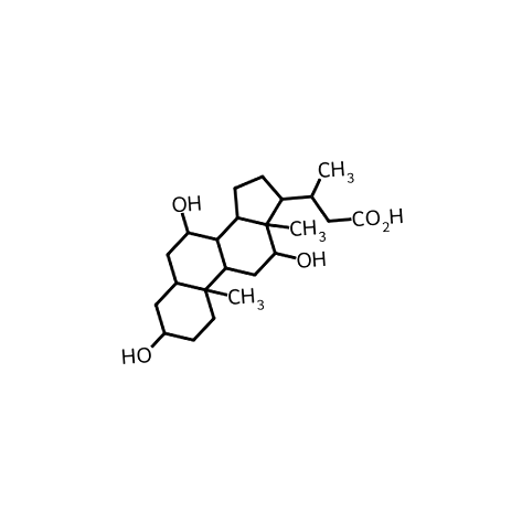 CC(CC(=O)O)C1CCC2C3C(O)CC4CC(O)CCC4(C)C3CC(O)C12C